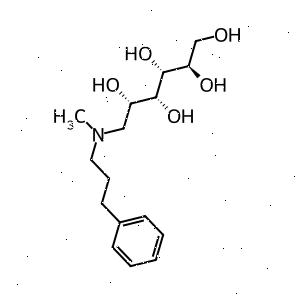 CN(CCCc1ccccc1)C[C@H](O)[C@@H](O)[C@H](O)[C@H](O)CO